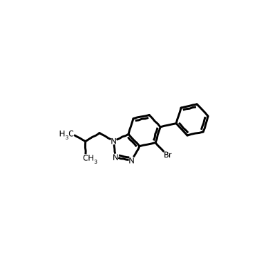 CC(C)Cn1nnc2c(Br)c(-c3ccccc3)ccc21